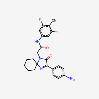 N#Cc1c(F)cc(NC(=O)CN2C(=O)C(c3ccc(N)cc3)=NC23CCCCC3)cc1F